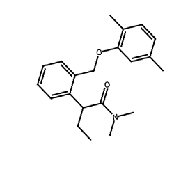 CCC(C(=O)N(C)C)c1ccccc1COc1cc(C)ccc1C